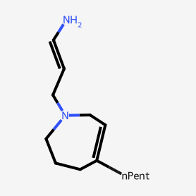 CCCCCC1=CCN(CC=CN)CCC1